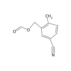 Cc1ccc(C#N)cc1COC=O